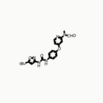 CN(C=O)c1cc(Oc2ccc(NC(=O)Nc3cc(C(C)(C)C)on3)cc2)ccn1